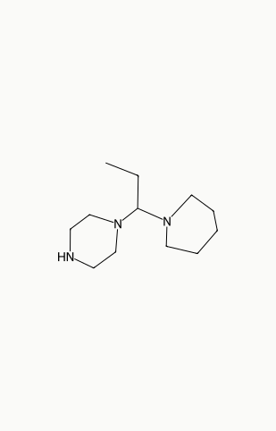 CCC(N1CCCCC1)N1CCNCC1